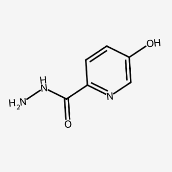 NNC(=O)c1ccc(O)cn1